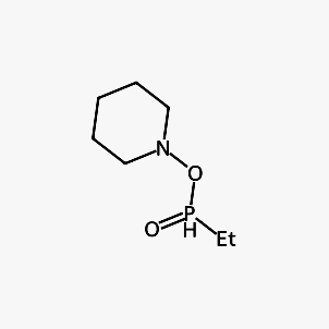 CC[PH](=O)ON1CCCCC1